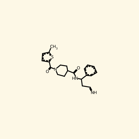 Cc1ccc(C(=O)N2CCC(C(=O)NC(CC=N)c3ccccc3)CC2)s1